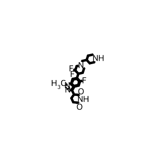 Cn1nc(C2CCC(=O)NC2=O)c2cc(F)c(C3CCN(CC4CCNCC4)CC3(F)F)cc21